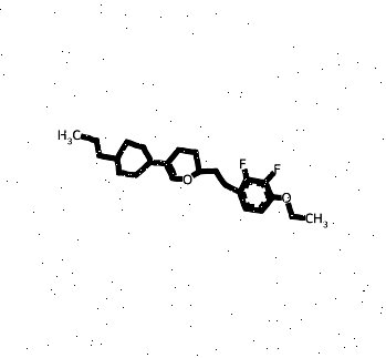 CCCC1CCC(C2=COC(CCc3ccc(OCC)c(F)c3F)CC2)CC1